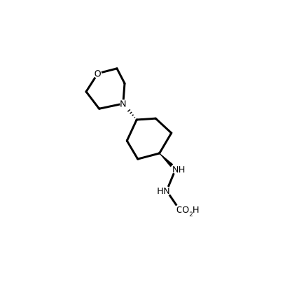 O=C(O)NN[C@H]1CC[C@H](N2CCOCC2)CC1